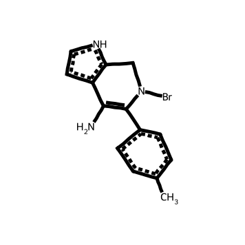 Cc1ccc(C2=C(N)c3cc[nH]c3CN2Br)cc1